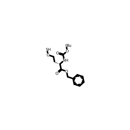 CC(C)(C)OC(=O)N[C@@H](CCOS)C(=O)OCc1ccccc1